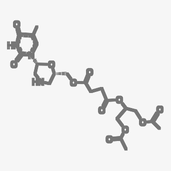 CC(=O)OCC(COC(C)=O)OC(=O)CCC(=O)OC[C@@H]1CNC[C@H](n2cc(C)c(=O)[nH]c2=O)O1